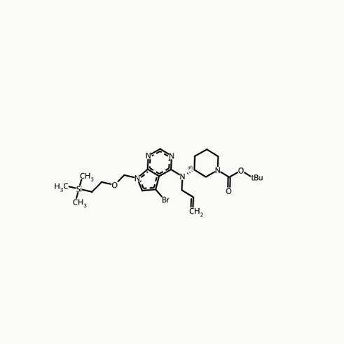 C=CCN(c1ncnc2c1c(Br)cn2COCC[Si](C)(C)C)[C@@H]1CCCN(C(=O)OC(C)(C)C)C1